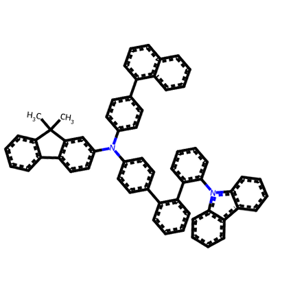 CC1(C)c2ccccc2-c2ccc(N(c3ccc(-c4ccccc4-c4ccccc4-n4c5ccccc5c5ccccc54)cc3)c3ccc(-c4cccc5ccccc45)cc3)cc21